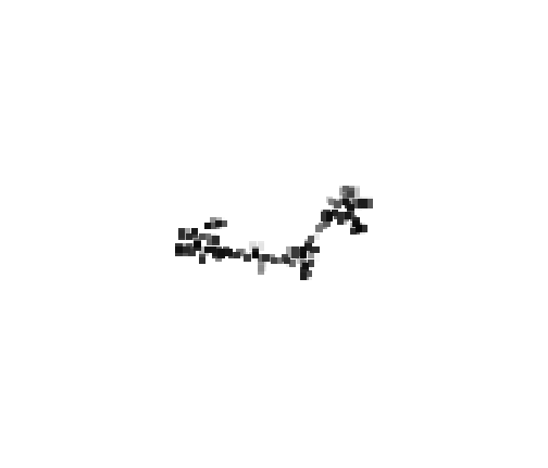 CC(=O)[C@@H](CCCCNC(=O)CCCCOC1OC(CO)C(O)C(O)C1C)NC(=O)CCCCOC1OC(CO)C(O)C(O)C1C